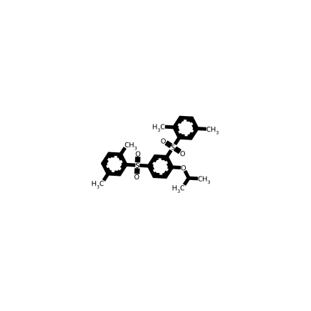 Cc1ccc(C)c(S(=O)(=O)c2ccc(OC(C)C)c(S(=O)(=O)c3cc(C)ccc3C)c2)c1